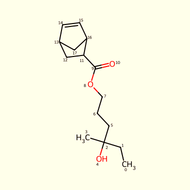 CCC(C)(O)CCCOC(=O)C1CC2C=CC1C2